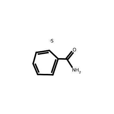 NC(=O)c1ccccc1.[S]